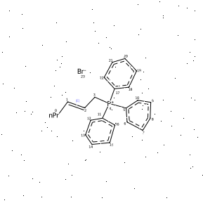 CCC/C=C/C[P+](c1ccccc1)(c1ccccc1)c1ccccc1.[Br-]